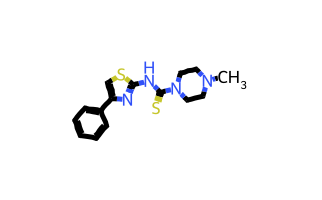 CN1CCN(C(=S)Nc2nc(-c3ccccc3)cs2)CC1